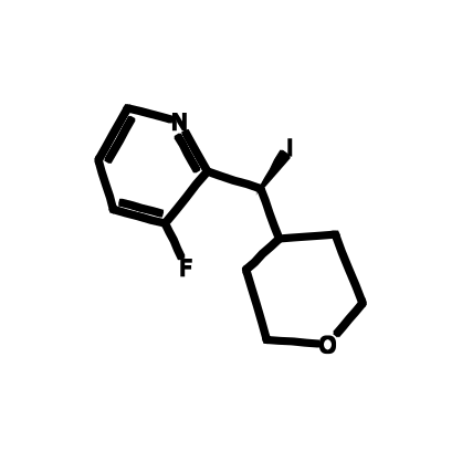 Fc1cccnc1[C@@H](I)C1CCOCC1